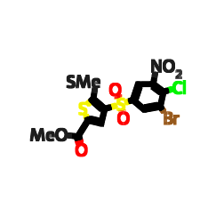 COC(=O)c1cc(S(=O)(=O)c2cc(Br)c(Cl)c([N+](=O)[O-])c2)c(SC)s1